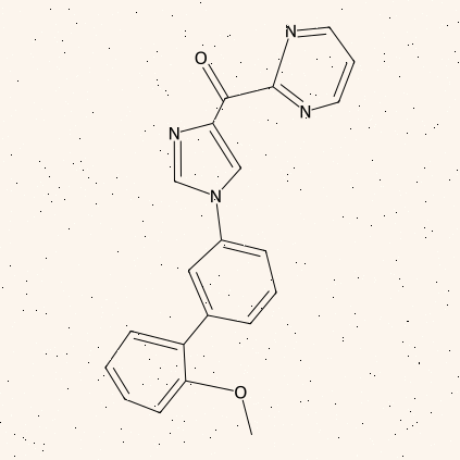 COc1ccccc1-c1cccc(-n2cnc(C(=O)c3ncccn3)c2)c1